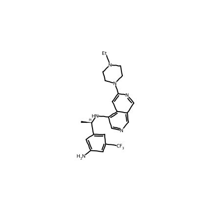 CCN1CCN(c2cc3c(N[C@H](C)c4cc(N)cc(C(F)(F)F)c4)cncc3cn2)CC1